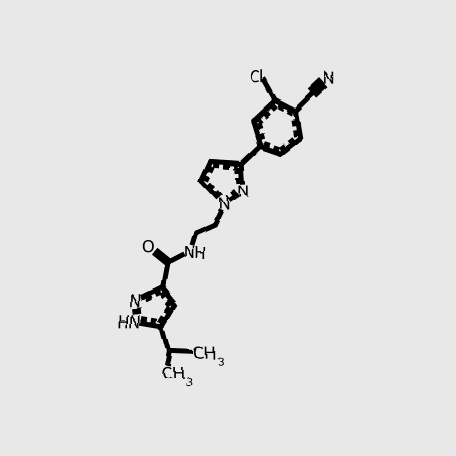 CC(C)c1cc(C(=O)NCCn2ccc(-c3ccc(C#N)c(Cl)c3)n2)n[nH]1